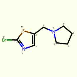 Brc1ncc(CN2CCCC2)s1